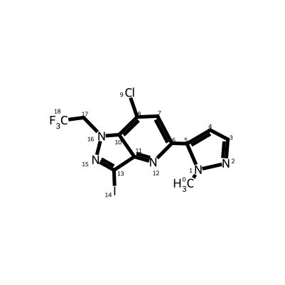 Cn1nccc1-c1cc(Cl)c2c(n1)c(I)nn2CC(F)(F)F